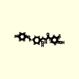 O=C(NC[C@]1(O)CC[C@@H](COc2ccc(F)cc2)CC1)c1ccc(O)c(F)c1